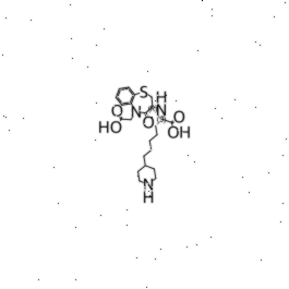 O=C(O)CN1C(=O)[C@@H](N[C@@H](CCCCCC2CCNCC2)C(=O)O)CSc2ccccc21